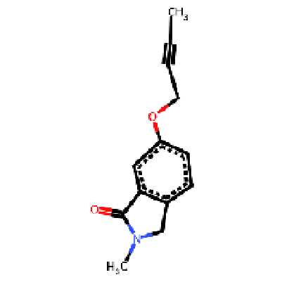 CC#CCOc1ccc2c(c1)C(=O)N(C)C2